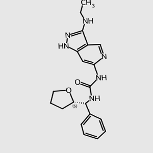 CCNc1n[nH]c2cc(NC(=O)NC(c3ccccc3)[C@@H]3CCCO3)ncc12